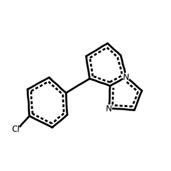 Clc1ccc(-c2cccn3ccnc23)cc1